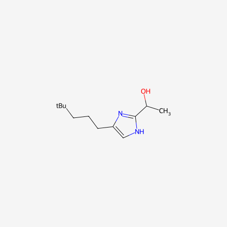 CC(O)c1nc(CCCC(C)(C)C)c[nH]1